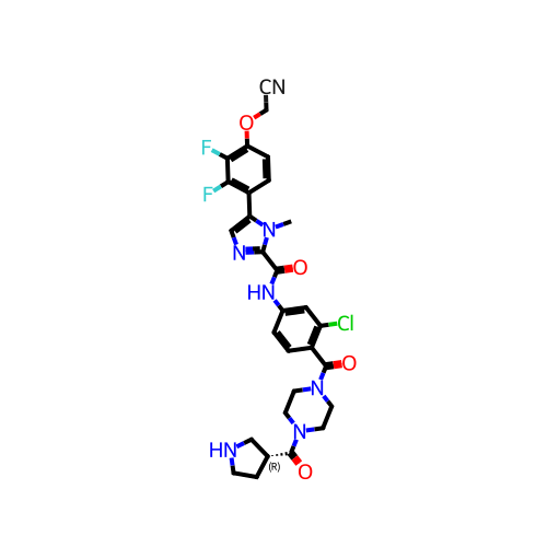 Cn1c(-c2ccc(OCC#N)c(F)c2F)cnc1C(=O)Nc1ccc(C(=O)N2CCN(C(=O)[C@@H]3CCNC3)CC2)c(Cl)c1